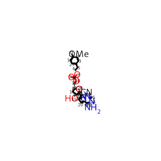 COc1ccc(CCOC(=O)OC[C@@H]2C[C@@H](O)[C@](C#N)(c3ccc4c(N)ncnn34)O2)cc1